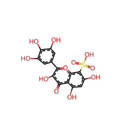 O=c1c(O)c(-c2cc(O)c(O)c(O)c2)oc2c(S(=O)(=O)O)c(O)cc(O)c12